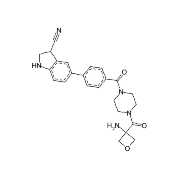 N#CC1CNc2ccc(-c3ccc(C(=O)N4CCN(C(=O)C5(N)COC5)CC4)cc3)cc21